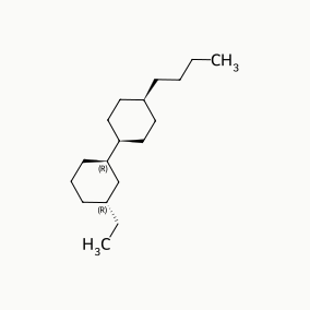 CCCC[C@H]1CC[C@@H]([C@@H]2CCC[C@@H](CC)C2)CC1